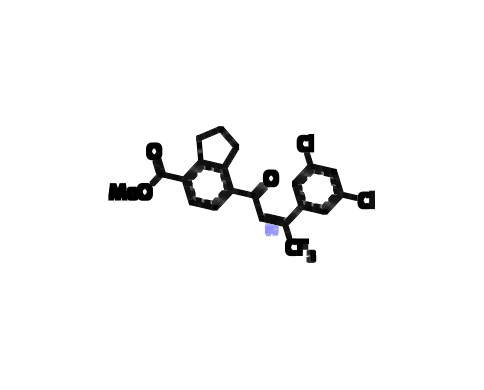 COC(=O)c1ccc(C(=O)/C=C(\c2cc(Cl)cc(Cl)c2)C(F)(F)F)c2c1CCC2